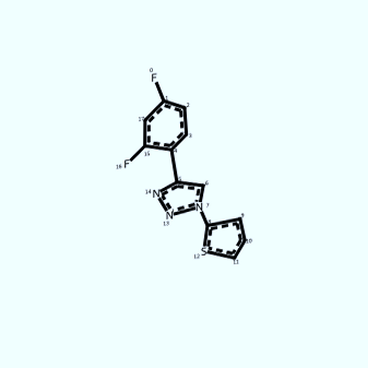 Fc1ccc(-c2cn(-c3cccs3)nn2)c(F)c1